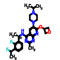 Cc1nc(N[C@H](C)c2cccc(C(C)F)c2F)c2cc(N3CCN(C(C)C)CC3)c(OC3COC3)nc2n1